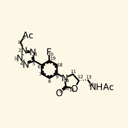 CC(=O)Cn1nnc(-c2ccc(N3C[C@H](CNC(C)=O)OC3=O)cc2F)n1